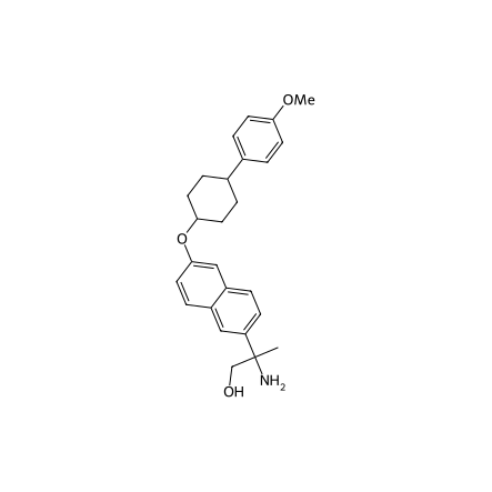 COc1ccc(C2CCC(Oc3ccc4cc(C(C)(N)CO)ccc4c3)CC2)cc1